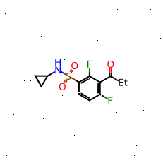 CCC(=O)c1c(F)ccc(S(=O)(=O)NC2CC2)c1F